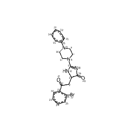 O=C(CC1NC(N2CCN(c3ccccc3)CC2)=NC1=O)c1ccccc1Br